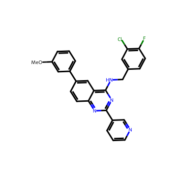 COc1cccc(-c2ccc3nc(-c4cccnc4)nc(NCc4ccc(F)c(Cl)c4)c3c2)c1